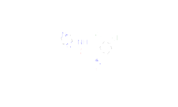 CO/N=C(\CCC(=O)Nc1cnccn1)c1ccc(Cl)c(Cl)c1